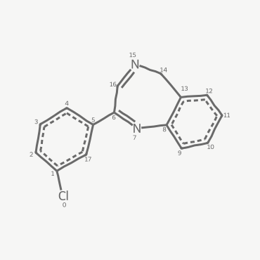 Clc1cccc(C2=Nc3ccccc3CN=C2)c1